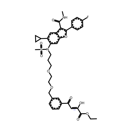 CCOC(=O)/C(O)=C/C(=O)c1cccc(COCCOCCCN(c2cc3oc(-c4ccc(F)cc4)c(C(=O)NC)c3cc2C2CC2)S(C)(=O)=O)c1